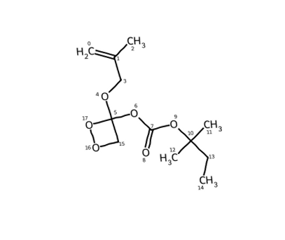 C=C(C)COC1(OC(=O)OC(C)(C)CC)COO1